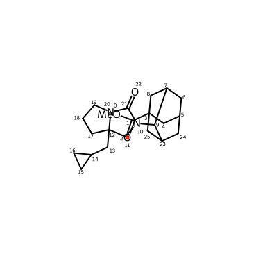 COC(=O)C12CC3CC(C1)C(N1CC4(CC5CC5)CCCN4C1=O)C(C3)C2